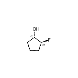 O[C@H]1CCC[C@@H]1F